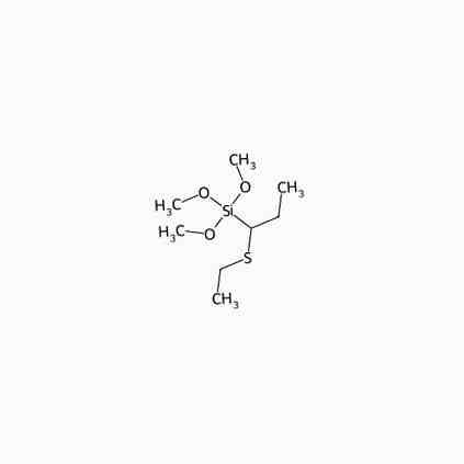 CCSC(CC)[Si](OC)(OC)OC